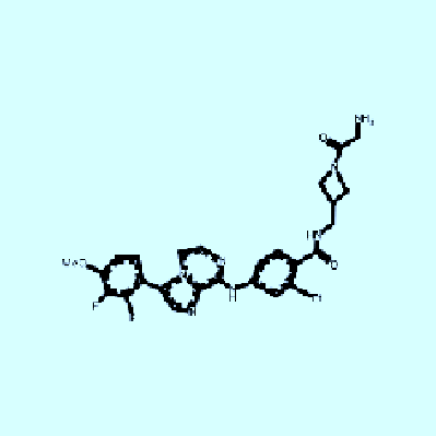 CCc1cc(Nc2nccn3c(-c4ccc(OC)c(F)c4F)cnc23)ccc1C(=O)NCC1CN(C(=O)CN)C1